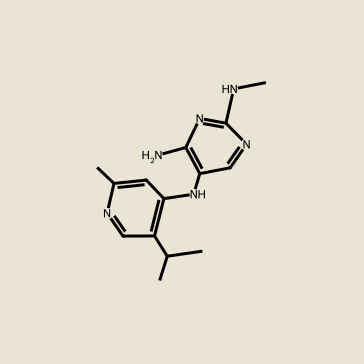 CNc1ncc(Nc2cc(C)ncc2C(C)C)c(N)n1